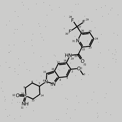 COc1cc2nn(C3CCS(=N)(=O)CC3)cc2cc1NC(=O)c1cccc(C(F)(F)F)n1